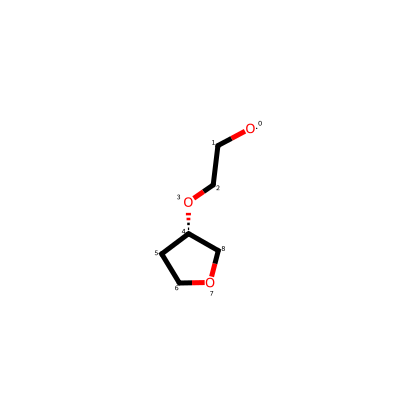 [O]CCO[C@H]1CCOC1